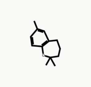 Cc1ccc2c(c1)CCCC(C)(C)O2